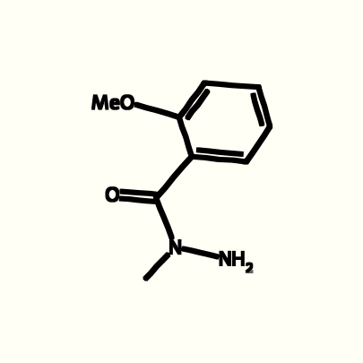 COc1ccccc1C(=O)N(C)N